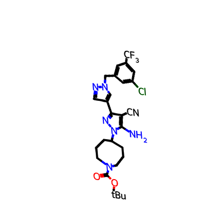 CC(C)(C)OC(=O)N1CCCC(n2nc(-c3cnn(Cc4cc(Cl)cc(C(F)(F)F)c4)c3)c(C#N)c2N)CCC1